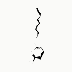 C=CCCCCOc1cccc(Br)n1